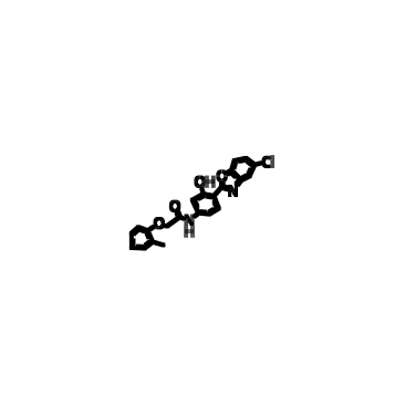 Cc1ccccc1OCC(=O)Nc1ccc(-c2nc3cc(Cl)ccc3o2)c(O)c1